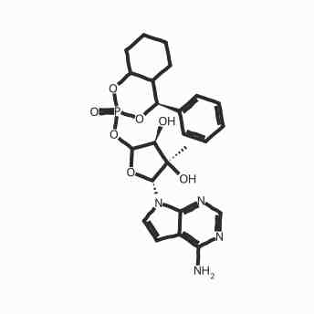 C[C@@]1(O)[C@H](O)C(OP2(=O)OC3CCCCC3[C@@H](c3ccccc3)O2)O[C@H]1n1ccc2c(N)ncnc21